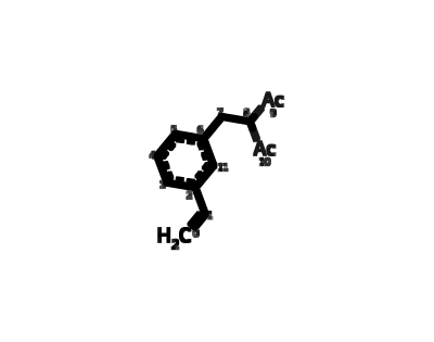 C=Cc1cccc(CC(C(C)=O)C(C)=O)c1